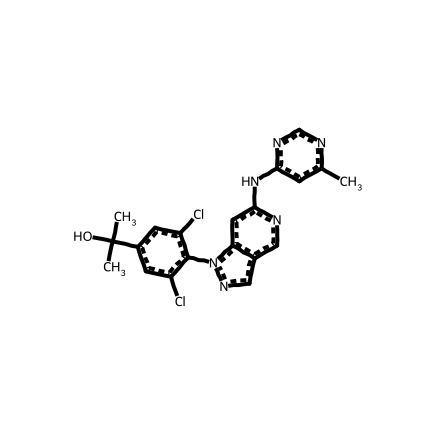 Cc1cc(Nc2cc3c(cn2)cnn3-c2c(Cl)cc(C(C)(C)O)cc2Cl)ncn1